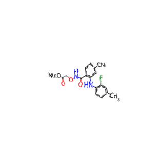 COC(=O)CONC(=O)c1ccc(C#N)cc1Nc1ccc(C)cc1F